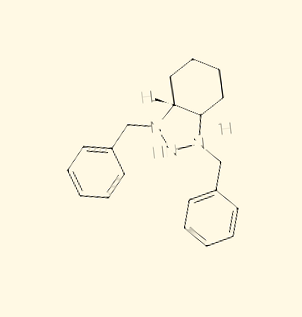 c1ccc(CN2NN(Cc3ccccc3)[C@@H]3CCCC[C@H]32)cc1